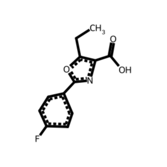 CCc1oc(-c2ccc(F)cc2)nc1C(=O)O